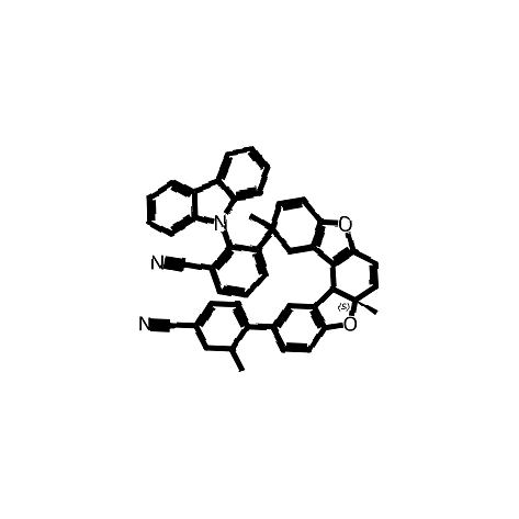 CC1CC(C#N)=CC=C1c1ccc2c(c1)C1c3c(oc4c3CC(C)(c3cccc(C#N)c3-n3c5ccccc5c5ccccc53)C=C4)C=C[C@]1(C)O2